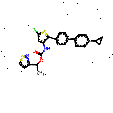 CC(OC(=O)Nc1cc(Cl)sc1-c1ccc(-c2ccc(C3CC3)cc2)cc1)c1ccsn1